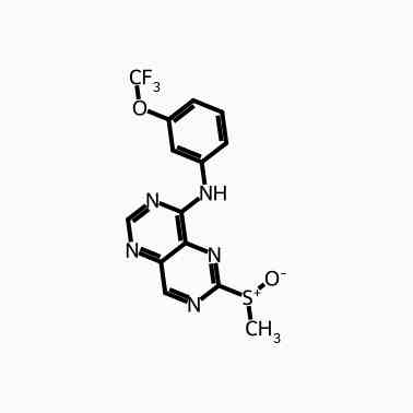 C[S+]([O-])c1ncc2ncnc(Nc3cccc(OC(F)(F)F)c3)c2n1